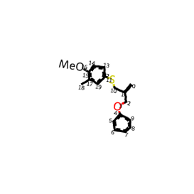 C=C(COc1ccccc1)CSc1ccc(OC)c(C)c1